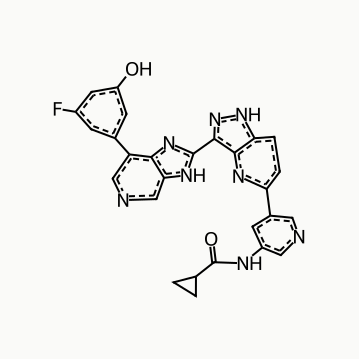 O=C(Nc1cncc(-c2ccc3[nH]nc(-c4nc5c(-c6cc(O)cc(F)c6)cncc5[nH]4)c3n2)c1)C1CC1